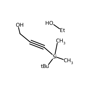 CC(C)(C)[Si](C)(C)C#CCO.CCO